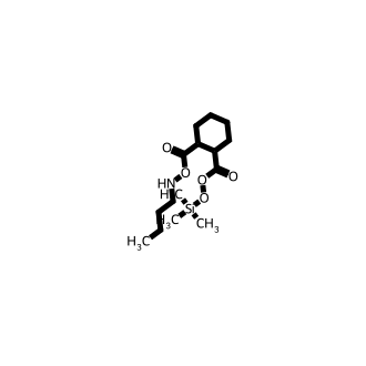 CCCCNOC(=O)C1CCCCC1C(=O)OO[Si](C)(C)C